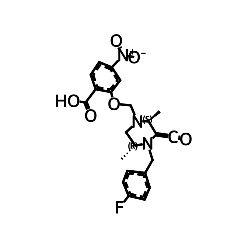 C[C@@H]1CN(COc2cc([N+](=O)[O-])ccc2C(=O)O)[C@@H](C)C(=C=O)N1Cc1ccc(F)cc1